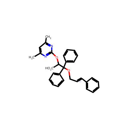 Cc1cc(C)nc(OC(C(=O)O)C(OC/C=C/c2ccccc2)(c2ccccc2)c2ccccc2)n1